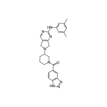 Cc1cc(C)cc(Nc2ncc3c(n2)CN(C2CCCN(C(=O)c4ccc5[nH]nnc5c4)C2)C3)c1